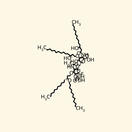 CCCCCCCCCCCCO[C@H](CCCCCCCCCCC)CCO[C@@H]1[C@@H](NC(C)=O)[C@H](OC[C@H]2O[C@H](C(=O)O)[C@H](NC(=O)C[C@H](O)CCCCCCCCCCC)[C@@H](OCC[C@H](O)CCCCCCCCCCC)[C@@H]2O)O[C@H](CF)[C@H]1OP(=O)(O)O